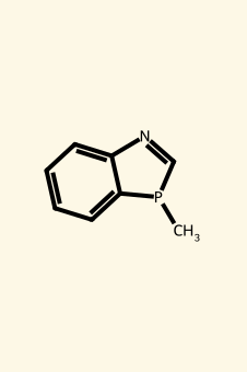 Cp1cnc2ccccc21